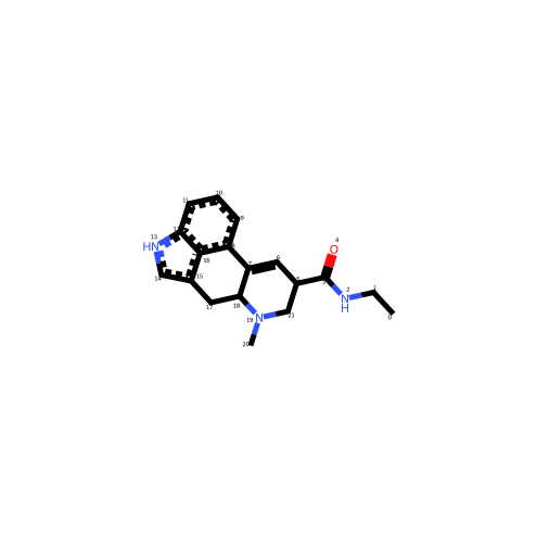 CCNC(=O)C1C=C2c3cccc4[nH]cc(c34)CC2N(C)C1